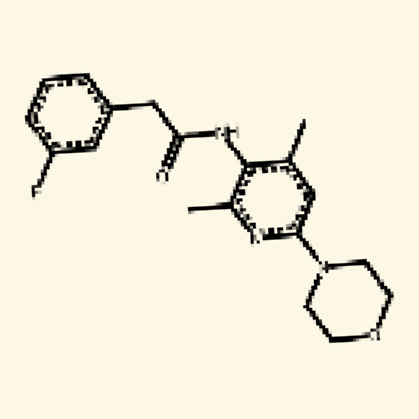 Cc1cc(N2CCOCC2)nc(C)c1NC(=O)Cc1cccc(F)c1